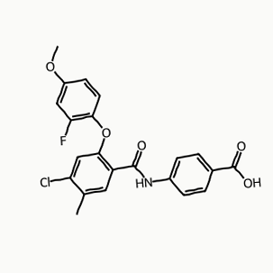 COc1ccc(Oc2cc(Cl)c(C)cc2C(=O)Nc2ccc(C(=O)O)cc2)c(F)c1